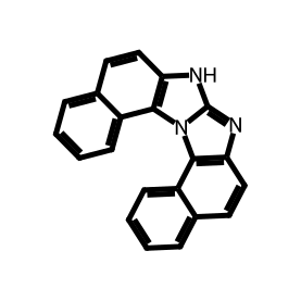 c1ccc2c(c1)ccc1nc3[nH]c4ccc5ccccc5c4n3c12